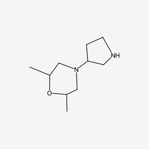 CC1CN(C2CCNC2)CC(C)O1